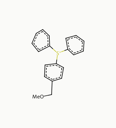 COCc1ccc([S+](c2ccccc2)c2ccccc2)cc1